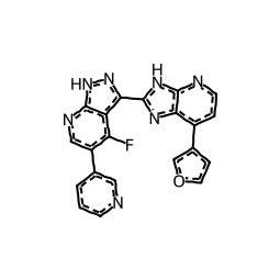 Fc1c(-c2cccnc2)cnc2[nH]nc(-c3nc4c(-c5ccoc5)ccnc4[nH]3)c12